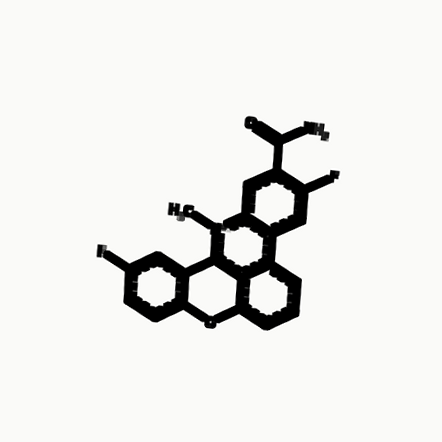 C[n+]1c2c3c(cccc3c3cc(F)c(C(N)=O)cc31)Oc1ccc(F)cc1-2